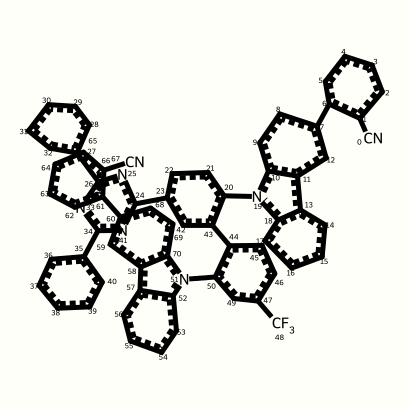 N#Cc1ccccc1-c1ccc2c(c1)c1ccccc1n2-c1ccc(-c2nc(-c3ccccc3)nc(-c3ccccc3)n2)cc1-c1ccc(C(F)(F)F)cc1-n1c2ccccc2c2cc(-c3ccccc3C#N)ccc21